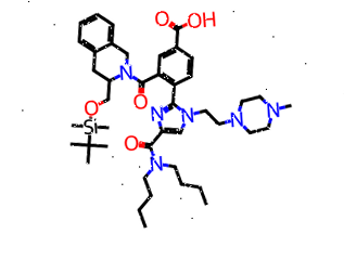 CCCCN(CCCC)C(=O)c1cn(CCN2CCN(C)CC2)c(-c2ccc(C(=O)O)cc2C(=O)N2Cc3ccccc3CC2CO[Si](C)(C)C(C)(C)C)n1